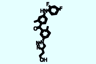 Cc1cc(Nc2ccc(F)cc2F)ccc1C(=O)c1cc(N2CC(CCO)N=N2)ccc1C